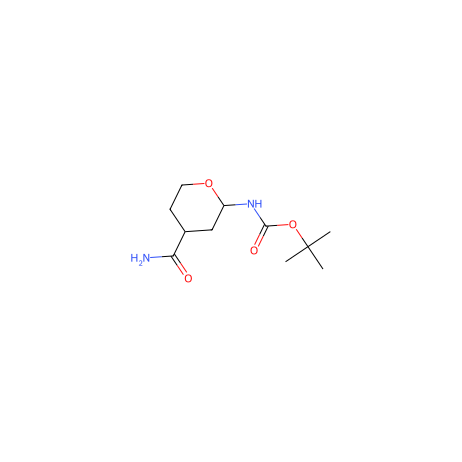 CC(C)(C)OC(=O)NC1CC(C(N)=O)CCO1